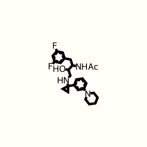 CC(=O)NC(Cc1cc(F)cc(F)c1)C(O)CNC1(c2cccc(N3CCCCC3)c2)CC1